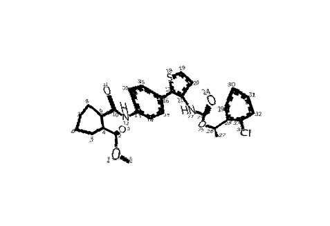 COC(=O)C1CCCCC1C(=O)Nc1ccc(-c2sccc2NC(=O)O[C@H](C)c2ccccc2Cl)cc1